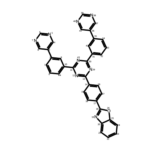 c1cc(-c2cncnc2)cc(-c2nc(-c3ccc(-c4nc5ccccc5o4)cc3)nc(-c3cccc(-c4cncnc4)c3)n2)c1